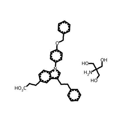 NC(CO)(CO)CO.O=C(O)CCc1ccc2c(c1)c(CCc1ccccc1)cn2-c1ccc(OCc2ccccc2)cc1